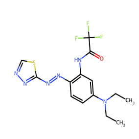 CCN(CC)c1ccc(N=Nc2nncs2)c(NC(=O)C(F)(F)F)c1